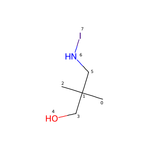 CC(C)(CO)CNI